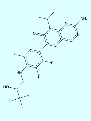 CC(C)n1c(=O)c(-c2cc(F)c(NCC(O)C(F)(F)F)c(F)c2F)cc2cnc(N)nc21